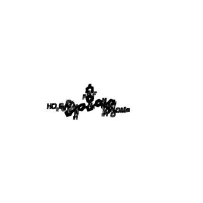 COC(=O)NC(C(=O)N1CCCC1c1nc2ccc([C@H]3CCC(c4ccc5nc(-c6cccn6C(=O)[C@H](C(C)C)N(C)C(=O)O)[nH]c5c4)N3c3cc(F)c(N4CCC(C)CC4)c(F)c3)cc2[nH]1)C(C)C